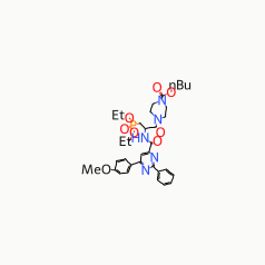 CCCCOC(=O)N1CCN(C(=O)C(CP(=O)(OCC)OCC)NC(=O)c2cc(-c3ccc(OC)cc3)nc(-c3ccccc3)n2)CC1